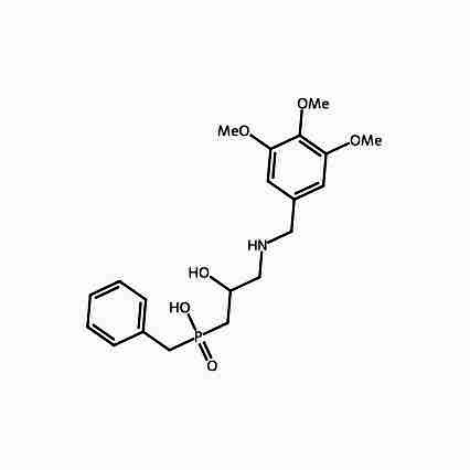 COc1cc(CNCC(O)CP(=O)(O)Cc2ccccc2)cc(OC)c1OC